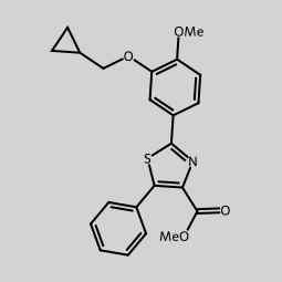 COC(=O)c1nc(-c2ccc(OC)c(OCC3CC3)c2)sc1-c1ccccc1